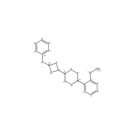 COc1ccccc1N1CCN(C2CN(Cc3ccccc3)C2)CC1